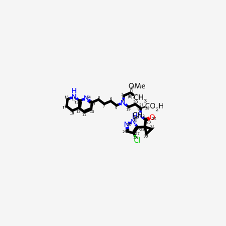 CO[C@H](C)CN(CCCCc1ccc2c(n1)NCCC2)CC[C@H](NC(=O)C1(c2c(Cl)cnn2C)CC1)C(=O)O